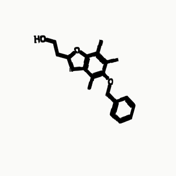 Cc1c(C)c2c(c(C)c1OCc1ccccc1)[C]C(CCO)O2